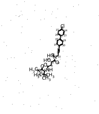 CNC(=O)[C@@H](NC(=O)C[C@H](O)C(=O)N(O)CC#Cc1ccc(-c2ccc(Cl)cc2)cc1)C(C)(C)C